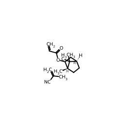 C=C(C)C#N.C=CC(=O)OC1C[C@H]2CC[C@@]1(C)C2(C)C